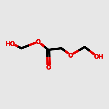 O=C(COCO)OCO